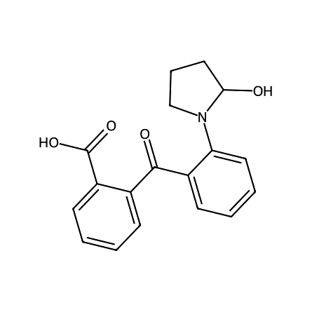 O=C(O)c1ccccc1C(=O)c1ccccc1N1CCCC1O